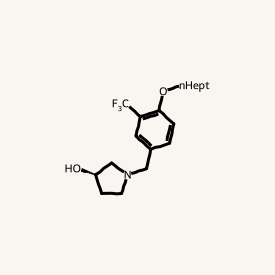 CCCCCCCOc1ccc(CN2CC[C@@H](O)C2)cc1C(F)(F)F